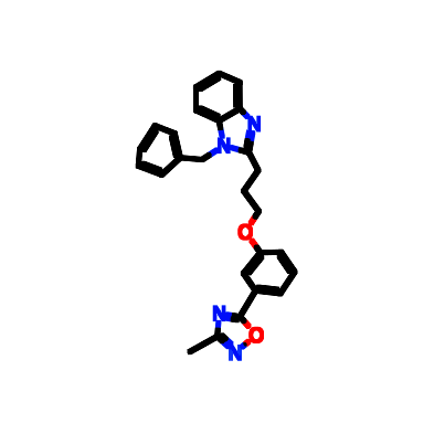 Cc1noc(-c2cccc(OCCCc3nc4ccccc4n3Cc3ccccc3)c2)n1